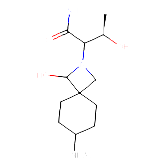 CC(=O)NC1CCC2(CC1)CN(C(C(N)=O)[C@@H](C)O)C2O